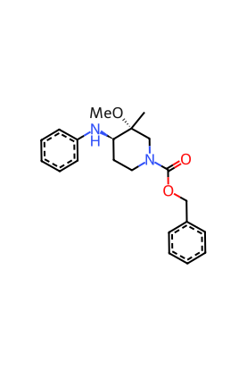 CO[C@]1(C)CN(C(=O)OCc2ccccc2)CC[C@H]1Nc1ccccc1